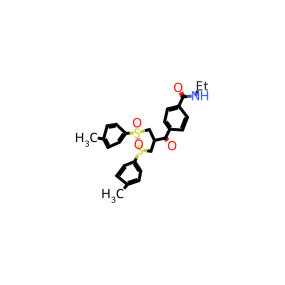 CCNC(=O)c1ccc(C(=O)C(CSc2ccc(C)cc2)CS(=O)(=O)c2ccc(C)cc2)cc1